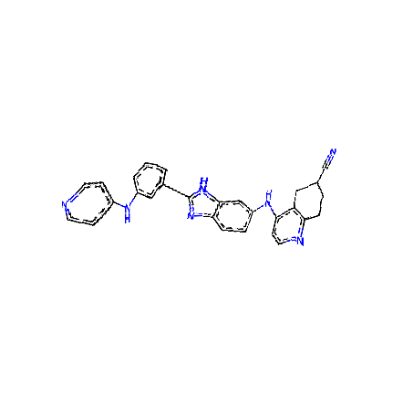 N#CC1CCc2nccc(Nc3ccc4nc(-c5cccc(Nc6ccncc6)c5)[nH]c4c3)c2C1